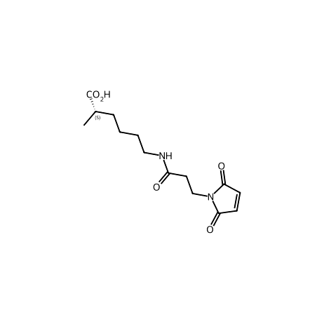 C[C@@H](CCCCNC(=O)CCN1C(=O)C=CC1=O)C(=O)O